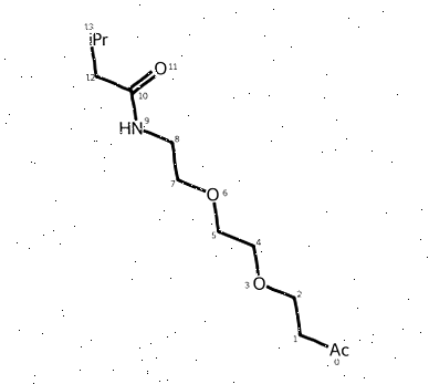 CC(=O)CCOCCOCCNC(=O)CC(C)C